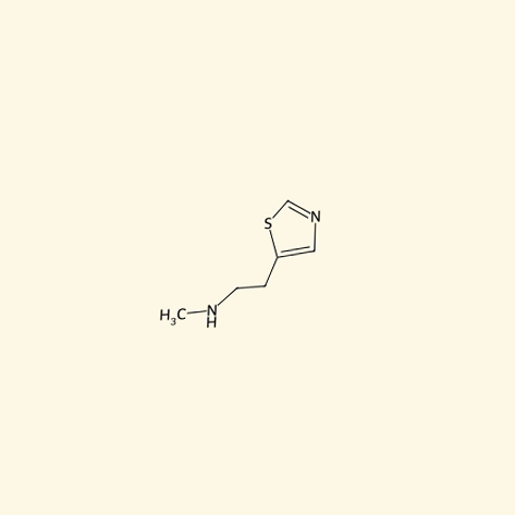 CNCCc1cncs1